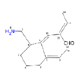 C/C=C1/CCCC(CN)/C1=C/C(C=O)=C\C